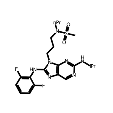 CCCN(CCCn1c(Nc2c(F)cccc2F)nc2cnc(NC(C)C)nc21)S(C)(=O)=O